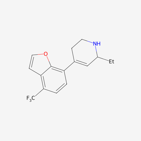 CCC1C=C(c2ccc(C(F)(F)F)c3ccoc23)CCN1